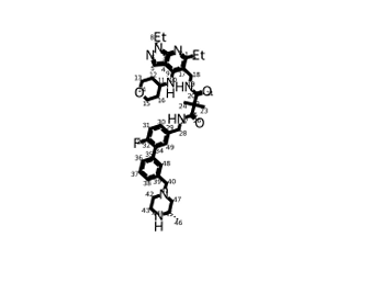 CCc1nc2c(cnn2CC)c(NC2CCOCC2)c1CNC(=O)C(C)(C)C(=O)NCc1ccc(F)c(-c2cccc(CN3CCN[C@@H](C)C3)c2)c1